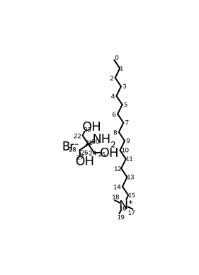 CCCCCCCCCCCCCCCC[N+](C)(C)C.NC(CO)(CO)CO.[Br-]